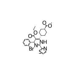 CCOC(=O)C1=C([C@H]2CC[C@H](C(=O)OC)CC2)NC(c2nccs2)=NC1c1ccccc1Br